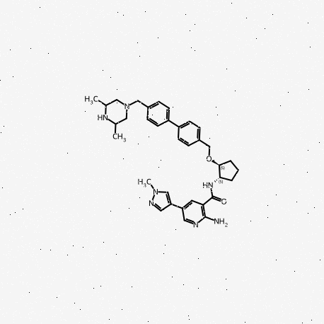 CC1CN(Cc2ccc(-c3ccc(CO[C@H]4CCC[C@@H]4NC(=O)c4cc(-c5cnn(C)c5)cnc4N)cc3)cc2)CC(C)N1